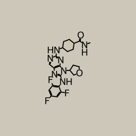 CNC(=O)C1CCC(Nc2ncc3nc(Nc4c(F)cc(F)cc4F)n(C4CCOC4)c3n2)CC1